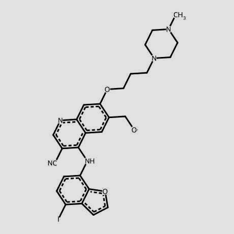 CN1CCN(CCCOc2cc3ncc(C#N)c(Nc4ccc(I)c5ccoc45)c3cc2C[O])CC1